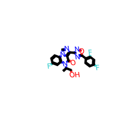 CC(CO)n1c(=O)c2c(-c3noc(-c4ccc(F)cc4F)n3)ncn2c2ccc(F)cc21